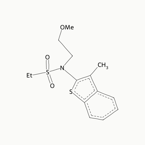 CCS(=O)(=O)N(CCOC)c1sc2ccccc2c1C